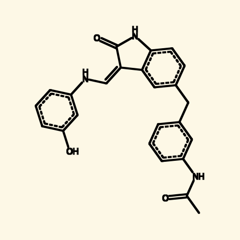 CC(=O)Nc1cccc(Cc2ccc3c(c2)C(=CNc2cccc(O)c2)C(=O)N3)c1